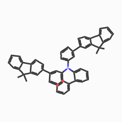 CC1(C)c2ccccc2-c2ccc(-c3cccc(N(c4cccc(-c5ccc6c(c5)C(C)(C)c5ccccc5-6)c4)c4ccccc4-c4ccccc4)c3)cc21